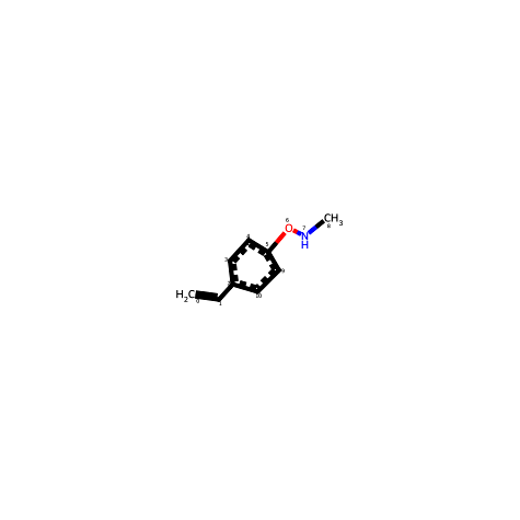 C=Cc1ccc(ONC)cc1